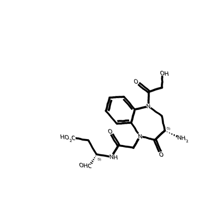 N[C@H]1CN(C(=O)CO)c2ccccc2N(CC(=O)N[C@H](C=O)CC(=O)O)C1=O